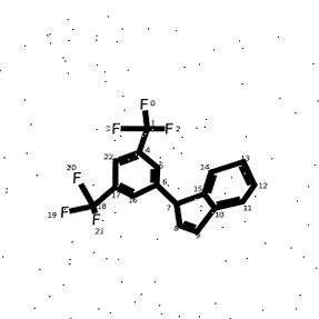 FC(F)(F)c1cc(C2C=Cc3ccccc32)cc(C(F)(F)F)c1